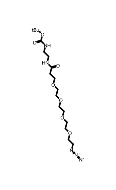 CC(C)(C)OC(=O)NCCNC(=O)CCOCCOCCOCCOCCN=[N+]=[N-]